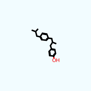 CC(C)Cc1ccc(CC(C)Cc2ccc(O)cc2)cc1